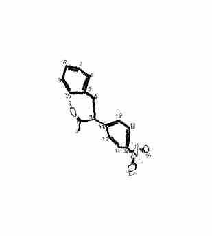 CC(=O)C(Cc1ccccc1)c1ccc([N+](=O)[O-])cc1